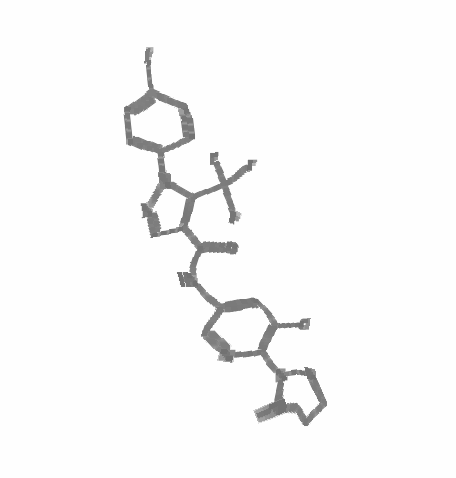 O=C(Nc1cnc(N2N=CCN2)c(Cl)c1)c1cnn(-c2ccc(F)cc2)c1C(F)(F)F